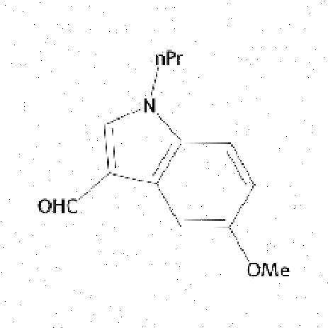 CCCn1cc(C=O)c2cc(OC)ccc21